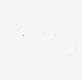 C/C=C(C)\C=C(/C=N)Nc1ncc2c(n1)CN(C1CN(C(=O)c3ccc4c(c3)NCN4)C1)C2